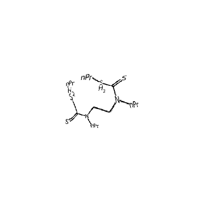 CCC[SH2]C(=S)N(CCC)CCN(CCC)C(=S)[SH2]CCC